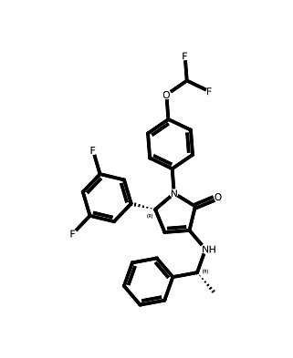 C[C@@H](NC1=C[C@H](c2cc(F)cc(F)c2)N(c2ccc(OC(F)F)cc2)C1=O)c1ccccc1